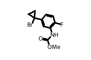 COC(=O)Nc1cc(C2(Br)CC2)ccc1F